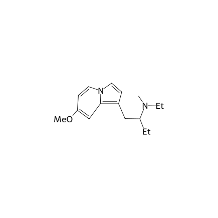 CCC(Cc1ccn2ccc(OC)cc12)N(C)CC